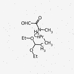 CCCC.CCOC(C)OCC.CN(C)C(=O)C=O